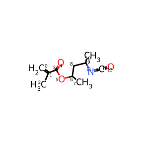 C=C(C)C(=O)OC(C)CC(C)N=C=O